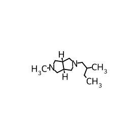 CCC(C)CN1C[C@H]2CN(C)C[C@H]2C1